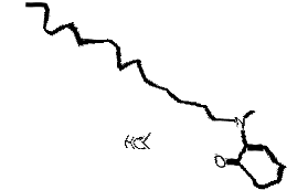 CCCCCCCCCCCCCN(C)C1=CCCCC1=O.Cl